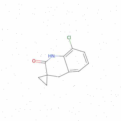 O=C1Nc2c(Cl)cccc2CC12CC2